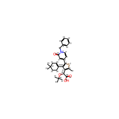 Cc1sc(-c2ccn(Cc3ccccc3)c(=O)c2)c(C2=CCC(C)(C)CC2)c1C(OC(C)(C)C)C(=O)O